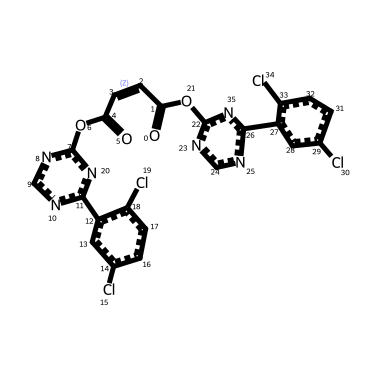 O=C(/C=C\C(=O)Oc1ncnc(-c2cc(Cl)ccc2Cl)n1)Oc1ncnc(-c2cc(Cl)ccc2Cl)n1